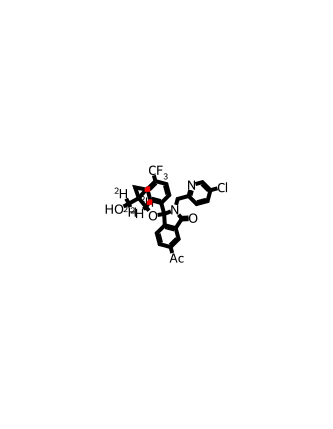 [2H]C([2H])(O)C1(C([2H])([2H])OC2(c3ccc(C(F)(F)F)cc3)c3ccc(C(C)=O)cc3C(=O)N2Cc2ccc(Cl)cn2)CC1